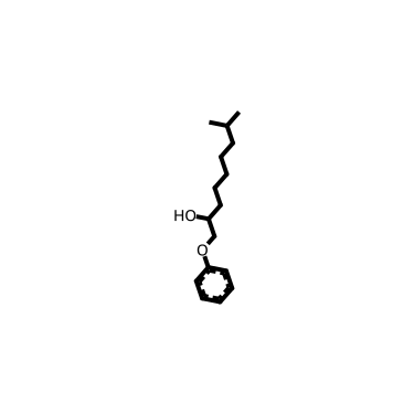 CC(C)CCCCCC(O)COc1ccccc1